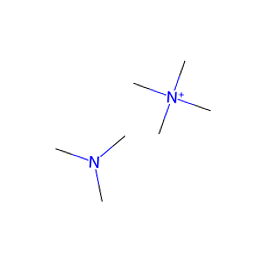 CN(C)C.C[N+](C)(C)C